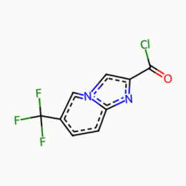 O=C(Cl)c1cn2cc(C(F)(F)F)ccc2n1